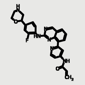 C=CC(=O)Nc1ccnc(-c2cccc3cnc(Nc4ccc(C5CNCCO5)cc4F)nc23)c1